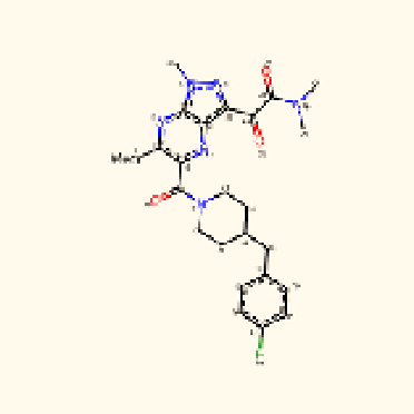 COc1nc2c(nc1C(=O)N1CCC(Cc3ccc(F)cc3)CC1)c(C(=O)C(=O)N(C)C)nn2C